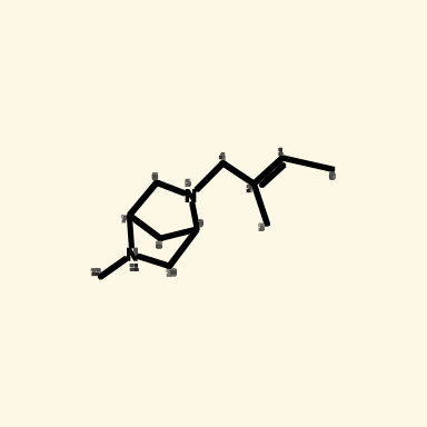 C/C=C(\C)CN1CC2CC1CN2C